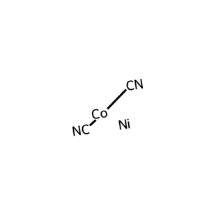 N#[C][Co][C]#N.[Ni]